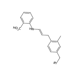 Cc1cc(CC(C)C)ccc1C/C=C/Nc1ccccc1C(=O)O